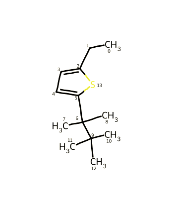 CCc1ccc(C(C)(C)C(C)(C)C)s1